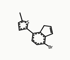 Cc1ccc(-c2ccc(Br)c3c2CC=C3)s1